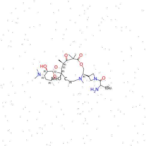 CO[C@]1(C)C[C@@H](C)CN(C)[C@H](C2CN(C(=O)C(N)C(C)(C)C)C2)COC(=O)C(C)(C)C(=O)[C@H](C)[C@H]1O[C@@H]1O[C@H](C)C[C@H](N(C)C)[C@H]1O